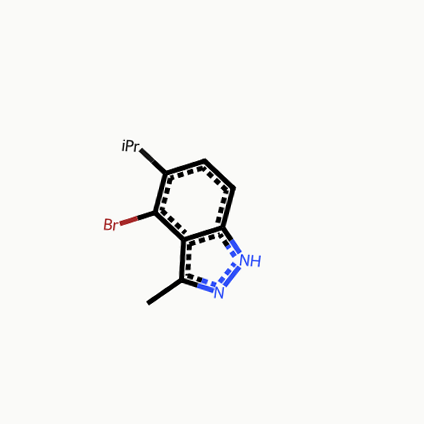 Cc1n[nH]c2ccc(C(C)C)c(Br)c12